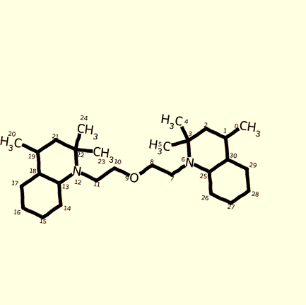 CC1CC(C)(C)N(CCOCCN2C3CCCCC3C(C)CC2(C)C)C2CCCCC12